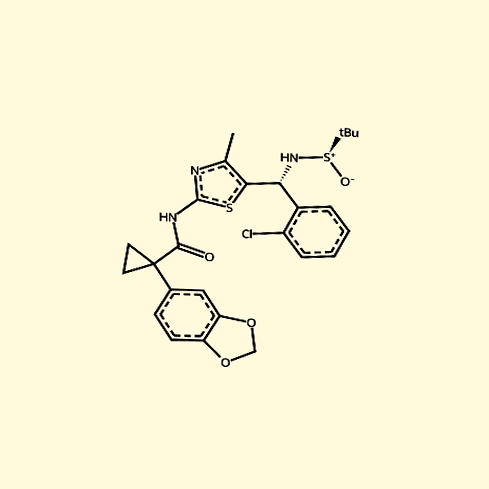 Cc1nc(NC(=O)C2(c3ccc4c(c3)OCO4)CC2)sc1[C@H](N[S@+]([O-])C(C)(C)C)c1ccccc1Cl